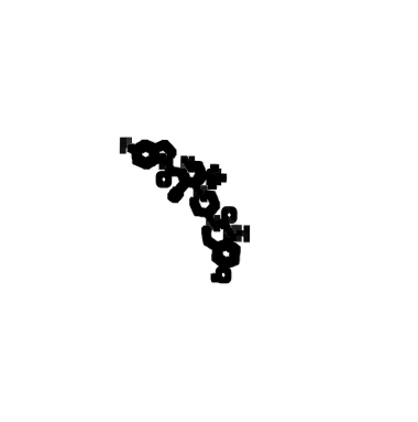 C#Cc1c(C(=O)N2CCc3cc(F)ccc32)ncc([Si](C)(C)C)c1N1CCC(N2CCc3cc(OC)ccc3NC2=O)CC1